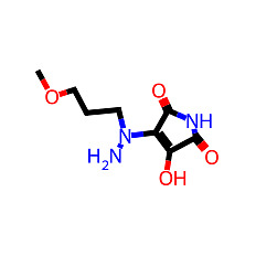 COCCCN(N)C1=C(O)C(=O)NC1=O